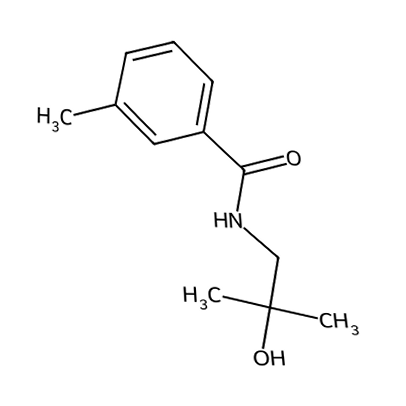 Cc1cccc(C(=O)NCC(C)(C)O)c1